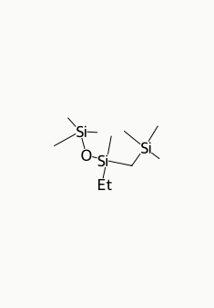 CC[Si](C)(C[Si](C)(C)C)O[Si](C)(C)C